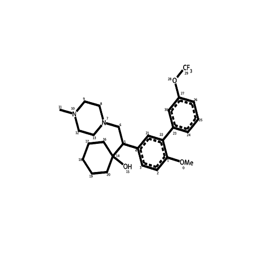 COc1ccc(C(CN2CCN(C)CC2)C2(O)CCCCC2)cc1-c1cccc(OC(F)(F)F)c1